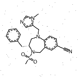 Cn1cncc1CN1C[C@@H](Cc2ccccc2)N(S(C)(=O)=O)Cc2cc(C#N)ccc21